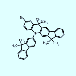 CC1(C)c2ccccc2-c2ccc(N3c4ccc(Br)cc4C(C)(C)c4cc5c(cc43)C(C)(C)c3ccccc3-5)cc21